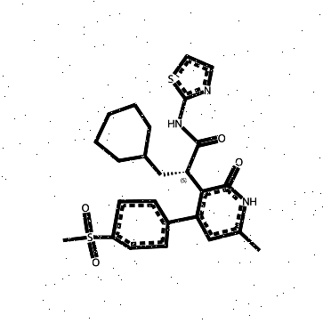 Cc1cc(-c2ccc(S(C)(=O)=O)cc2)c([C@H](CC2CCCCC2)C(=O)Nc2nccs2)c(=O)[nH]1